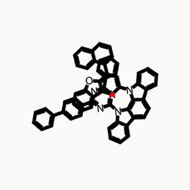 c1ccc(-c2ccc(-c3nc(-c4ccccc4)nc(-n4c5ccccc5c5ccc6c7ccccc7n(-c7cc(-c8cccc9ccccc89)c8oc9ccccc9c8c7)c6c54)n3)cc2)cc1